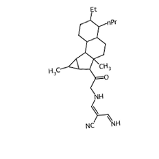 CCCC1C(CC)CCC2C1CCC1(C)C(C(=O)CN/C=C(/C#N)C=N)C3C(C)C3C21